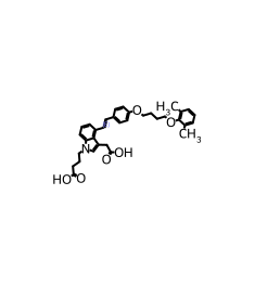 Cc1cccc(C)c1OCCCCOc1ccc(/C=C/c2cccc3c2c(CC(=O)O)cn3CCCC(=O)O)cc1